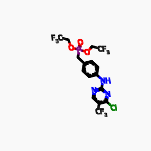 O=P(Cc1ccc(Nc2ncc(C(F)(F)F)c(Cl)n2)cc1)(OCC(F)(F)F)OCC(F)(F)F